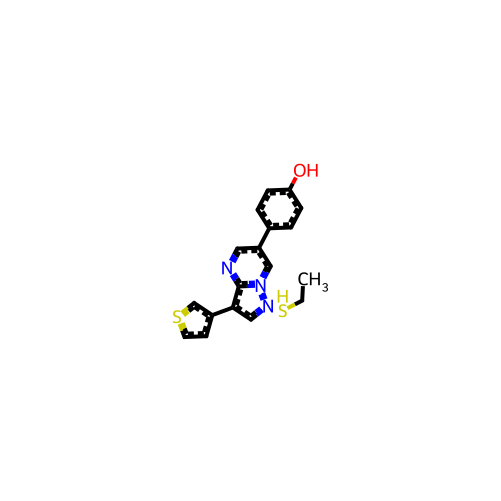 CCS.Oc1ccc(-c2cnc3c(-c4ccsc4)cnn3c2)cc1